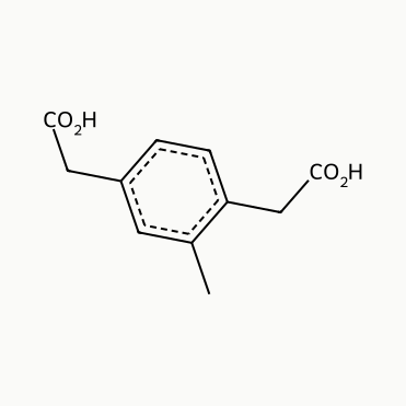 Cc1cc(CC(=O)O)ccc1CC(=O)O